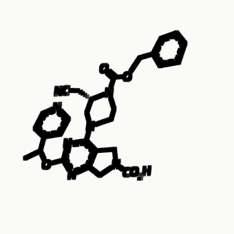 CC(Oc1nc2c(c(N3CCN(C(=O)OCc4ccccc4)[C@@H](CC#N)C3)n1)CN(C(=O)O)C2)c1ccncc1